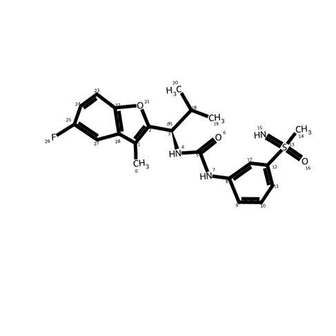 Cc1c([C@H](NC(=O)Nc2cccc(S(C)(=N)=O)c2)C(C)C)oc2ccc(F)cc12